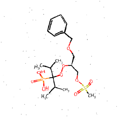 CC(C)C(OO[C@@H](COCc1ccccc1)COS(C)(=O)=O)(C(C)C)P(=O)(O)O